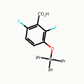 CC(C)[Si](Oc1ccc(F)c(C(=O)O)c1F)(C(C)C)C(C)C